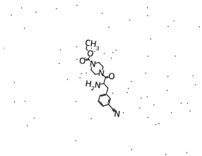 CCOC(=O)N1CCN(C(=O)C(N)Cc2cccc(C#N)c2)CC1